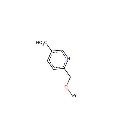 CC(C)OCc1ccc(C(=O)O)cn1